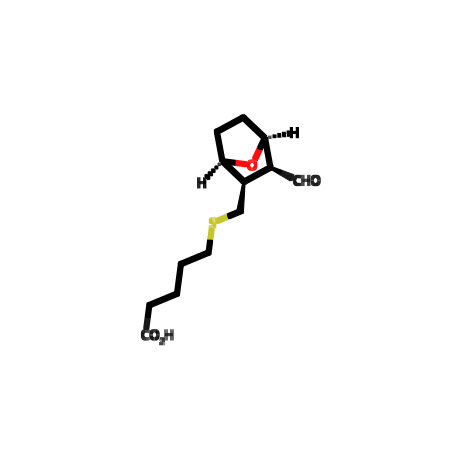 O=C[C@H]1[C@@H](CSCCCCC(=O)O)[C@H]2CC[C@@H]1O2